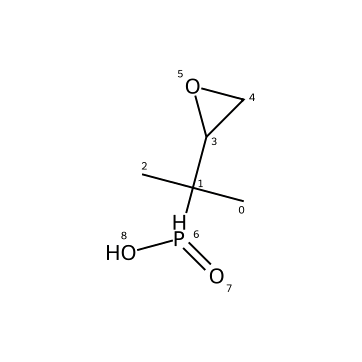 CC(C)(C1CO1)[PH](=O)O